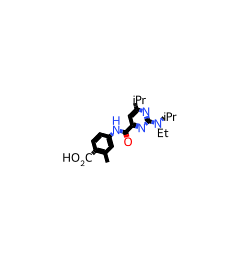 CCN(c1nc(C(=O)Nc2ccc(C(=O)O)c(C)c2)cc(C(C)C)n1)C(C)C